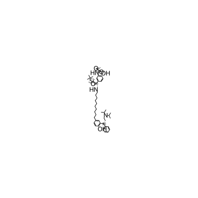 CC(C)N(CC[C@H](c1ccccc1)c1cc(CCCCCCCCCCNC[C@H](O[Si](C)(C)C(C)(C)C)c2ccc(O)c(NS(C)(=O)=O)c2)ccc1O)C(C)C